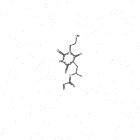 C=CC(=O)OC(C)Cn1c(=O)[nH]c(=O)n(CCO)c1=O